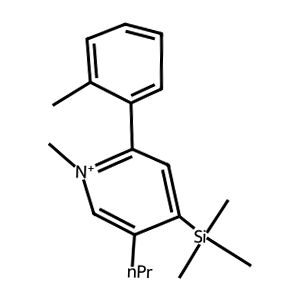 CCCc1c[n+](C)c(-c2ccccc2C)cc1[Si](C)(C)C